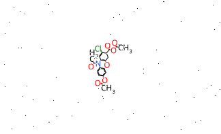 CC(=O)OC(=O)C1CC2=C(C=C1Cl)N(C(C)=O)c1ccc(OC(C)=O)cc1O2